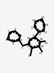 Cc1c(Cc2ccccc2)cc(-c2ccccc2)c(C)c1C